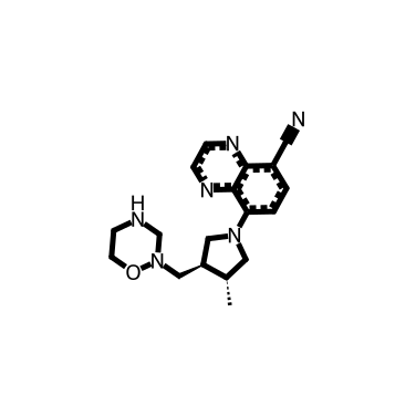 C[C@H]1CN(c2ccc(C#N)c3nccnc23)C[C@@H]1CN1CNCCO1